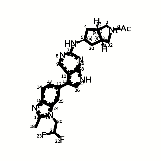 CC(=O)N1C[C@H]2C[C@H](Nc3ncc4c(-c5ccc6nc(C)n(CC(F)F)c6c5)c[nH]c4n3)C[C@H]2C1